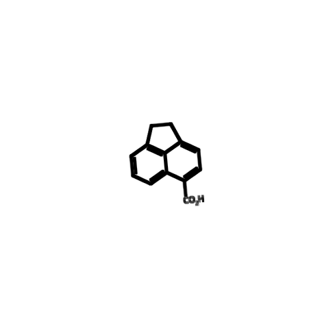 O=C(O)c1ccc2c3c(cccc13)CC2